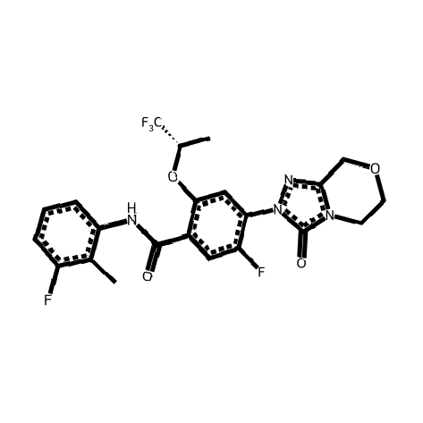 Cc1c(F)cccc1NC(=O)c1cc(F)c(-n2nc3n(c2=O)CCOC3)cc1O[C@@H](C)C(F)(F)F